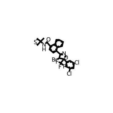 CC1(NC(=O)c2ccc(C3=NOC(c4cc(Cl)cc(Cl)c4)(C(F)(F)F)C3Br)c3ccccc23)CSC1